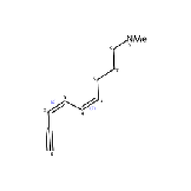 C#C/C=C\C=C/CCCNC